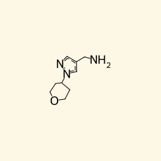 NCc1cnn(C2CCOCC2)c1